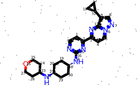 c1cc(-c2ccn3ncc(C4CC4)c3n2)nc(N[C@H]2CC[C@H](NC3CCOCC3)CC2)n1